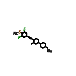 CCC(C)CC1CCC(C2CCC(C#Cc3cc(F)c(SC#N)c(F)c3)=C(C)C2)CC1